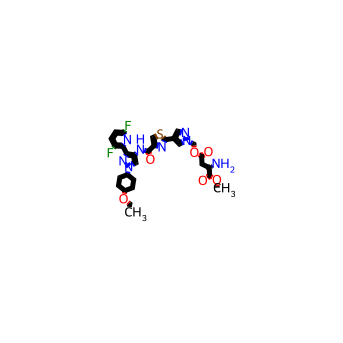 CCOC1CCC(n2cc(NC(=O)c3csc(-c4cnn(COC(=O)C[C@@H](N)C(=O)OC)c4)n3)c(-c3nc(F)ccc3F)n2)CC1